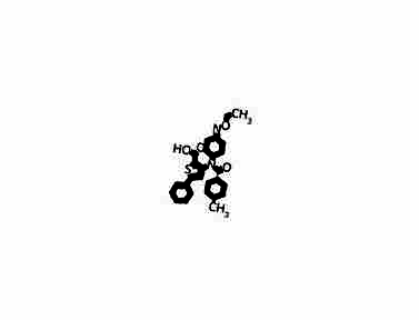 CCON=C1CCC(N(c2cc(C3=CCCCC3)sc2C(=O)O)C(=O)[C@H]2CC[C@H](C)CC2)CC1